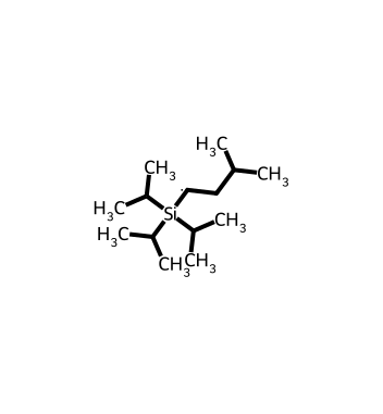 CC(C)C[CH][Si](C(C)C)(C(C)C)C(C)C